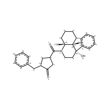 O=C1CC(C(=O)N2CC[C@](O)(c3ccccc3)[C@H]3CCCC[C@H]32)CN1Cc1ccncc1